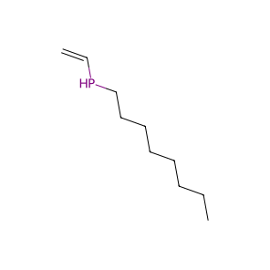 C=CPCCCCCCCC